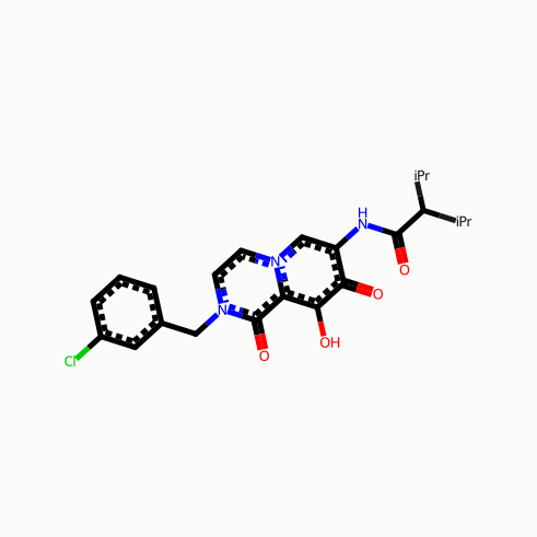 CC(C)C(C(=O)Nc1cn2ccn(Cc3cccc(Cl)c3)c(=O)c2c(O)c1=O)C(C)C